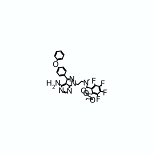 CN(CCn1nc(-c2ccc(Oc3ccccc3)cc2)c2c(N)ncnc21)C(=O)c1c(F)c(F)c(F)c(F)c1S(C)(=O)=O